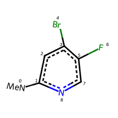 CNc1cc(Br)c(F)cn1